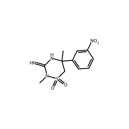 CN1C(=N)NC(C)(c2cccc([N+](=O)[O-])c2)CS1(=O)=O